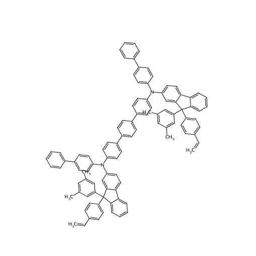 C=Cc1ccc(C2(c3cc(C)cc(C)c3)c3ccccc3-c3ccc(N(c4ccc(-c5ccccc5)cc4)c4ccc(-c5ccc(-c6ccc(N(c7ccc(-c8ccccc8)cc7)c7ccc8c(c7)C(c7ccc(C=C)cc7)(c7cc(C)cc(C)c7)c7ccccc7-8)cc6)cc5)cc4)cc32)cc1